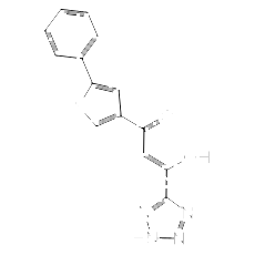 O=C(C=C(O)c1nn[nH]n1)c1csc(-c2ccccc2)c1